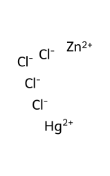 [Cl-].[Cl-].[Cl-].[Cl-].[Hg+2].[Zn+2]